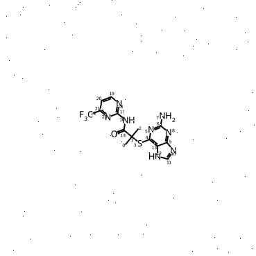 CC(C)(Sc1nc(N)nc2nc[nH]c12)C(=O)Nc1nccc(C(F)(F)F)n1